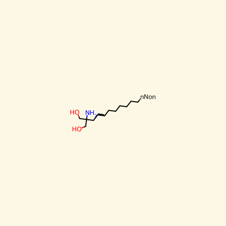 CCCCCCCCCCCCCCC/C=C/CC(N)(CO)CO